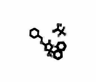 C[C@@]1(c2ccccc2)N=C(OCC2CCCCC2)N[C@@H]1c1ccccc1.O=C(O)C(F)(F)F